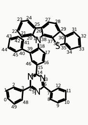 c1ccc(-c2nc(-c3ccccc3)nc(-c3ccc(-n4c5ccccc5c5ccc6c7ccccc7sc6c54)c(-c4ccccc4)c3)n2)cc1